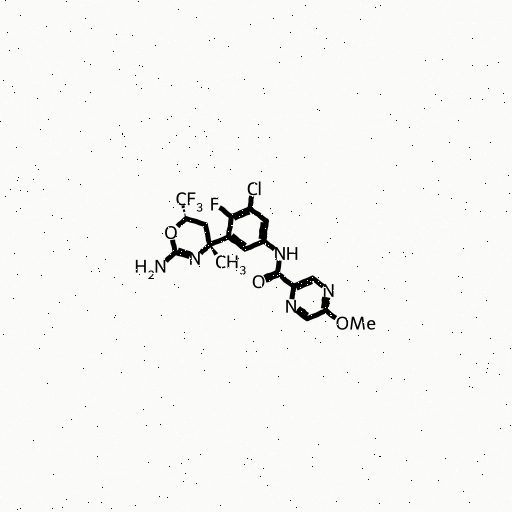 COc1cnc(C(=O)Nc2cc(Cl)c(F)c([C@@]3(C)C[C@@H](C(F)(F)F)OC(N)=N3)c2)cn1